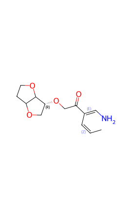 C/C=C\C(=C/N)C(=O)CO[C@@H]1COC2CCOC21